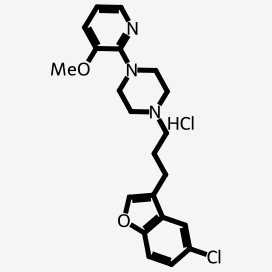 COc1cccnc1N1CCN(CCCc2coc3ccc(Cl)cc23)CC1.Cl